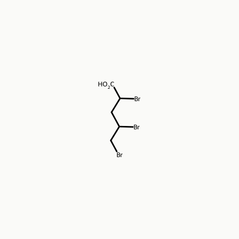 O=C(O)C(Br)CC(Br)CBr